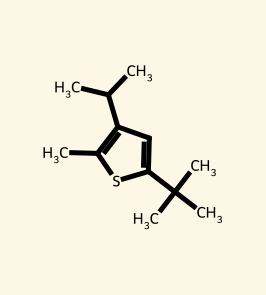 Cc1sc(C(C)(C)C)cc1C(C)C